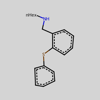 CCCCCCNCc1ccccc1Sc1ccccc1